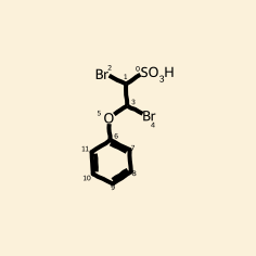 O=S(=O)(O)C(Br)C(Br)Oc1ccccc1